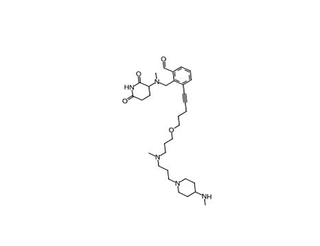 CNC1CCN(CCCN(C)CCCOCCCC#Cc2cccc(C=O)c2CN(C)C2CCC(=O)NC2=O)CC1